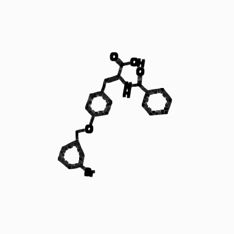 O=C(O)C(=Cc1ccc(OCc2cccc(Br)c2)cc1)NC(=O)c1ccccc1